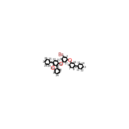 Brc1cc(Oc2cccc(-c3ccccc3)c2)cc(Oc2ccc(-c3ccccc3)c3oc4ccccc4c23)c1